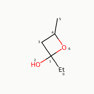 CCC1(O)CC(C)O1